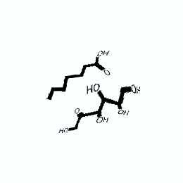 CCCCCCC(=O)O.O=C(CO)C(O)C(O)C(O)CO